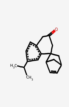 CC(C)c1ccc2c(c1)C1(CC(=O)C2)CC2C=CC1C2